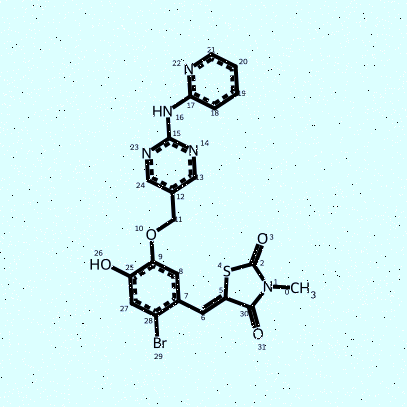 CN1C(=O)S/C(=C\c2cc(OCc3cnc(Nc4ccccn4)nc3)c(O)cc2Br)C1=O